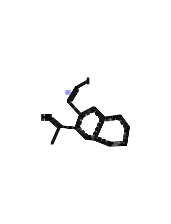 CC(=N)c1cc2ccccc2cc1/C=C\I